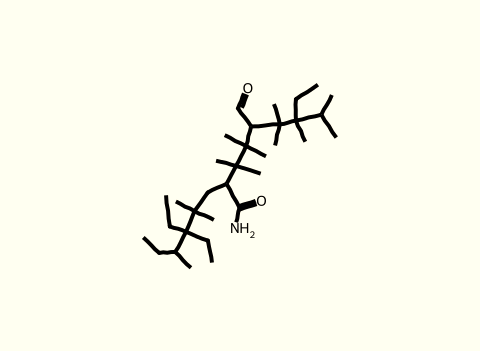 CCC(C)C(CC)(CC)C(C)(C)CC(C(N)=O)C(C)(C)C(C)(C)C(C=O)C(C)(C)C(C)(CC)C(C)C